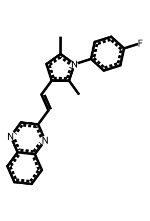 Cc1cc(/C=C/c2cnc3ccccc3n2)c(C)n1-c1ccc(F)cc1